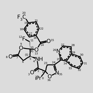 CC(C)C1(C(=O)N[C@H]2CC(=O)O[C@@]2(CF)OC(=O)c2ccc(C(F)(F)F)cc2)CC(c2nccc3ccccc23)=NO1